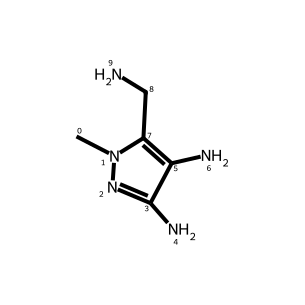 Cn1nc(N)c(N)c1CN